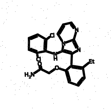 CCc1cccc(OCC(N)=O)c1-c1nc2ncccn2c1Nc1c(Cl)cccc1Cl